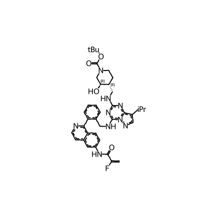 C=C(F)C(=O)Nc1ccc2c(-c3ccccc3CNc3nc(NC[C@H]4CCN(C(=O)OC(C)(C)C)C[C@@H]4O)nc4c(C(C)C)cnn34)nccc2c1